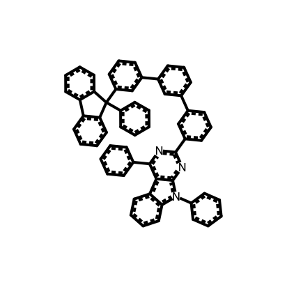 c1ccc(-c2nc(-c3cccc(-c4cccc(-c5cccc(C6(c7ccccc7)c7ccccc7-c7ccccc76)c5)c4)c3)nc3c2c2ccccc2n3-c2ccccc2)cc1